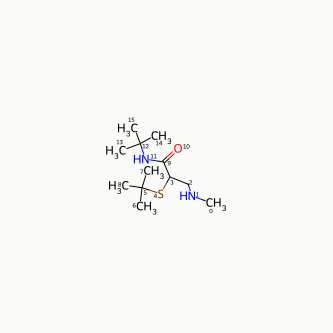 CNCC(SC(C)(C)C)C(=O)NC(C)(C)C